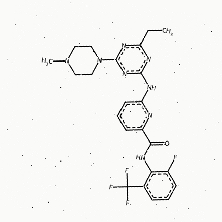 CCc1nc(Nc2cccc(C(=O)Nc3c(F)cccc3C(F)(F)F)n2)nc(N2CCN(C)CC2)n1